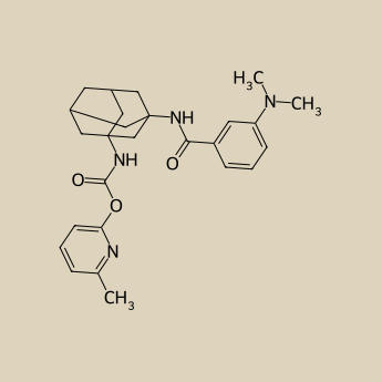 Cc1cccc(OC(=O)NC23CC4CC(C2)CC(NC(=O)c2cccc(N(C)C)c2)(C4)C3)n1